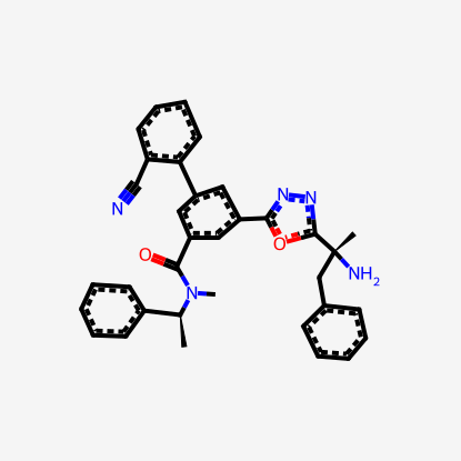 C[C@@H](c1ccccc1)N(C)C(=O)c1cc(-c2nnc([C@](C)(N)Cc3ccccc3)o2)cc(-c2ccccc2C#N)c1